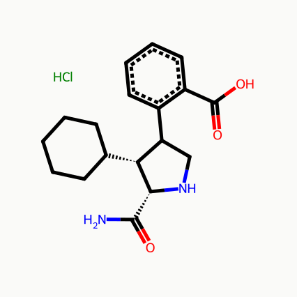 Cl.NC(=O)[C@H]1NCC(c2ccccc2C(=O)O)[C@H]1C1CCCCC1